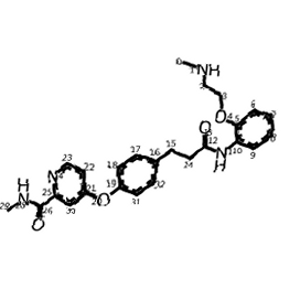 CNCCOc1ccccc1NC(=O)CCc1ccc(Oc2ccnc(C(=O)NC)c2)cc1